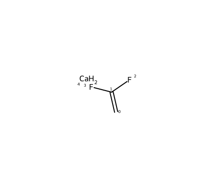 C=C(F)F.[CaH2]